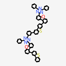 c1ccc(-c2nc(-c3ccccc3)nc(-c3cccc4c3oc3cccc(-c5ccc6c(c5)sc5ccc(-c7cccc(-c8nc(-c9ccccc9)nc(-c9cccc%10c9oc9cccc(-c%11ccc%12sc%13ccccc%13c%12c%11)c9%10)n8)c7)cc56)c34)n2)cc1